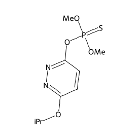 COP(=S)(OC)Oc1ccc(OC(C)C)nn1